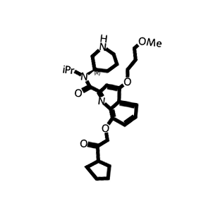 COCCCOc1cc(C(=O)N(C(C)C)[C@@H]2CCCNC2)nc2c(OCC(=O)C3CCCC3)cccc12